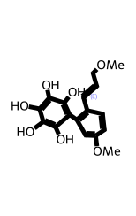 COC/C=C/c1ccc(OC)cc1-c1c(O)c(O)c(O)c(O)c1O